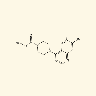 CC(C)(C)OC(=O)N1CCN(c2ncnc3cc(Br)c(I)cc23)CC1